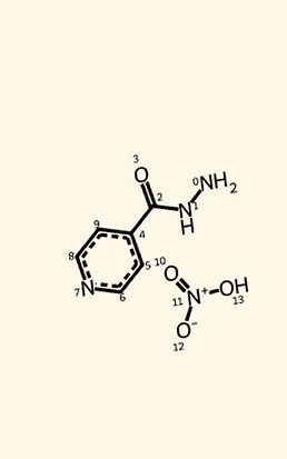 NNC(=O)c1ccncc1.O=[N+]([O-])O